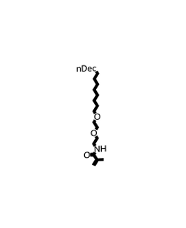 C=C(C)C(=O)NCCOCCOCCCCCCCCCCCCCCCCCC